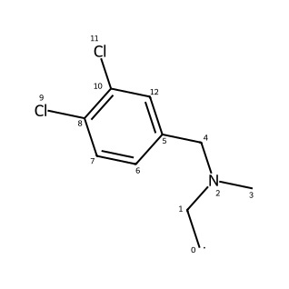 [CH2]CN(C)Cc1ccc(Cl)c(Cl)c1